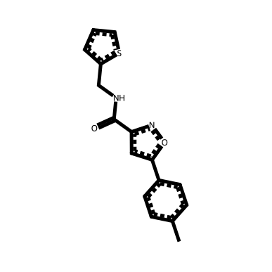 Cc1ccc(-c2cc(C(=O)NCc3cccs3)no2)cc1